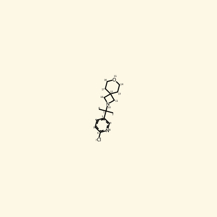 CC(C)(c1ccc(Cl)nc1)N1CC2(CCOCC2)C1